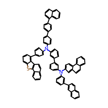 c1cc(-c2cccc(N(c3cccc(-c4ccc5ccccc5c4)c3)c3ccc4c(ccc5ccccc54)c3)c2)cc(N(c2ccc(-c3ccc(-c4cccc5ccccc45)cc3)cc2)c2ccc(-c3cccc4sc5c6ccccc6ccc5c34)cc2)c1